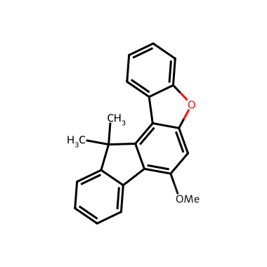 COc1cc2oc3ccccc3c2c2c1-c1ccccc1C2(C)C